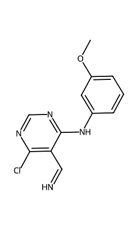 COc1cccc(Nc2ncnc(Cl)c2C=N)c1